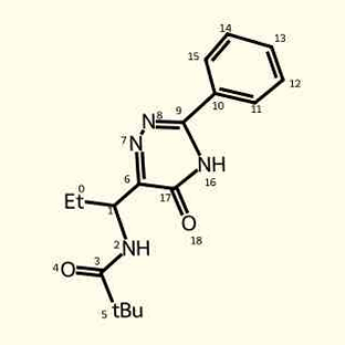 CCC(NC(=O)C(C)(C)C)c1nnc(-c2ccccc2)[nH]c1=O